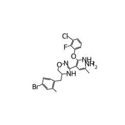 C/C(N)=C/C(C1=NOCC(Cc2ccc(Br)cc2C)N1)=C(\N)Oc1cccc(Cl)c1F